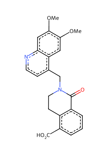 COc1cc2nccc(CN3CCc4c(C(=O)O)cccc4C3=O)c2cc1OC